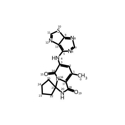 Cc1cc(Nc2ncnc3scnc23)c(=O)n2c1C(=O)NC21CCCC1